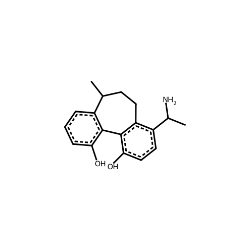 CC(N)c1ccc(O)c2c1CCC(C)c1cccc(O)c1-2